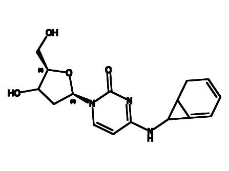 O=c1nc(NC2C3=CC=CCC32)ccn1[C@H]1CC(O)[C@@H](CO)O1